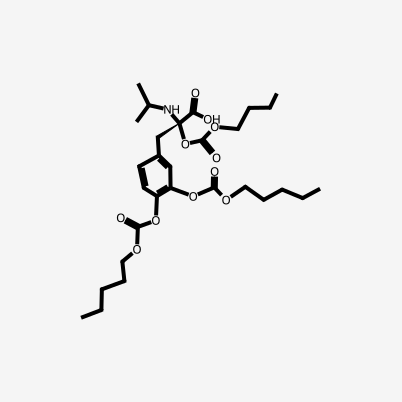 CCCCCOC(=O)Oc1ccc(C[C@](NC(C)C)(OC(=O)OCCCC)C(=O)O)cc1OC(=O)OCCCCC